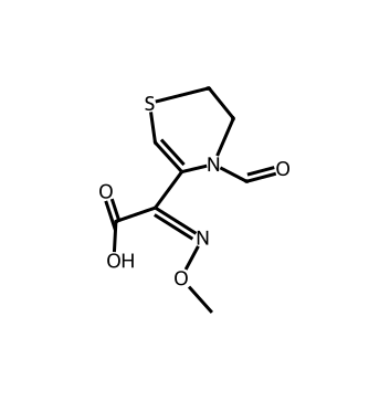 CON=C(C(=O)O)C1=CSCCN1C=O